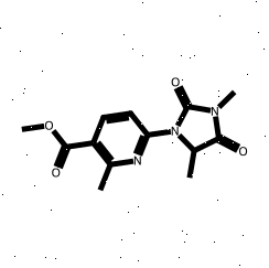 COC(=O)c1ccc(N2C(=O)N(C)C(=O)C2C)nc1C